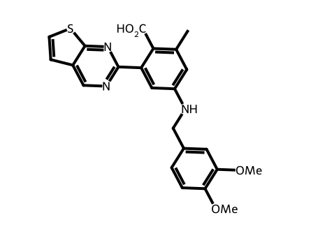 COc1ccc(CNc2cc(C)c(C(=O)O)c(-c3ncc4ccsc4n3)c2)cc1OC